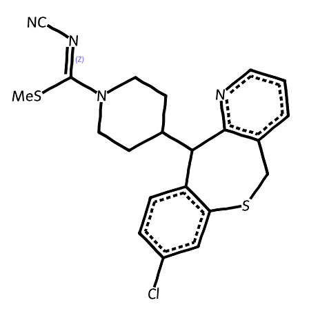 CS/C(=N\C#N)N1CCC(C2c3ccc(Cl)cc3SCc3cccnc32)CC1